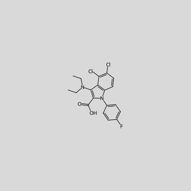 CCN(CC)c1c(C(=O)O)n(-c2ccc(F)cc2)c2ccc(Cl)c(Cl)c12